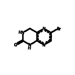 O=C1NCc2nc(Br)cnc2N1